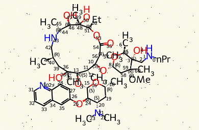 CCCNC[C@]1(O)[C@H](C)O[C@@H](O[C@H]2[C@H](C)[C@@H](O[C@@H]3O[C@H](C)C[C@H](N(C)C)[C@H]3Oc3ccc4ncccc4c3)[C@](C)(O)C[C@@H](C)CN[C@H](C)[C@@H](O)[C@](C)(O)[C@@H](CC)OC(=O)[C@@H]2C)C[C@@]1(C)OC